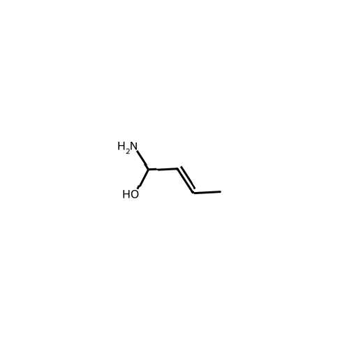 C/C=C/C(N)O